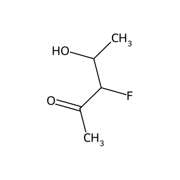 CC(=O)C(F)C(C)O